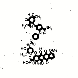 COc1cccc2c1C(=O)c1c(O)c3c(c(O)c1C2=O)C[C@](O)(C(=O)CO)C[C@H]3O[C@@H]1C[C@@H](NC(=O)O[C@H]2CC[C@H](Nc3cc(-n4nc(C(F)(F)F)c5c4CC(C)(C)CC5=O)ccc3C(N)=O)CC2)[C@@H](O)[C@@H](C)O1